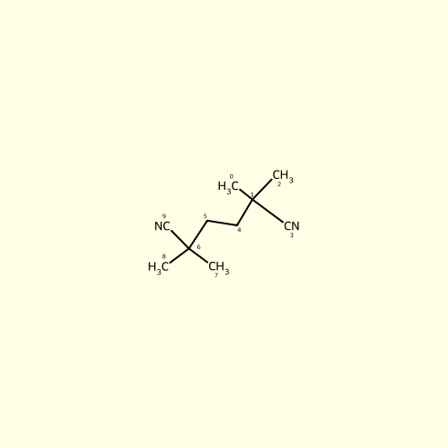 CC(C)(C#N)CCC(C)(C)C#N